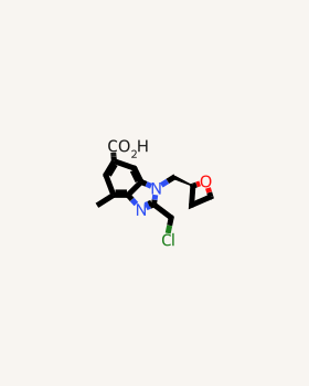 Cc1cc(C(=O)O)cc2c1nc(CCl)n2C[C@@H]1CCO1